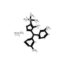 Cc1cccc(C(C2=CCC([Si](C)(C)C)=[C]2[Ti+3])c2cccc(C)c2)c1.[Cl-].[Cl-].[Cl-]